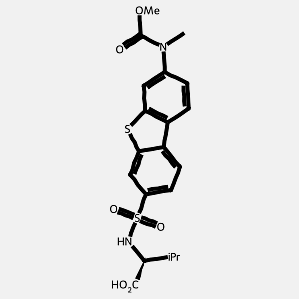 COC(=O)N(C)c1ccc2c(c1)sc1cc(S(=O)(=O)N[C@H](C(=O)O)C(C)C)ccc12